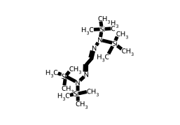 C[Si](C)(C)N(N=CC=NN([Si](C)(C)C)[Si](C)(C)C)[Si](C)(C)C